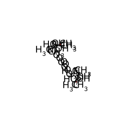 CCCCC1(CCCC)CS(O)(O)c2ccc(N(C)C)cc2C(c2ccc(OCCOCCOC(=O)CC(=O)OCCOCCOc3ccc(C4c5cc(N(C)C)ccc5S(O)(O)CC(CCCC)(CCCC)C4O)cc3)cc2)C1O